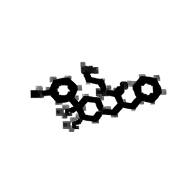 CC(=O)OCCNC(=O)C(Cc1ccccc1)CN1CC[C@@](C)(c2cccc(O)c2)[C@@H](C)C1